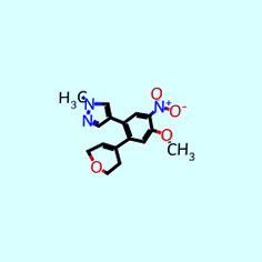 COc1cc(C2=CCOCC2)c(-c2cnn(C)c2)cc1[N+](=O)[O-]